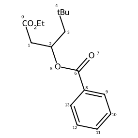 CCOC(=O)CC(CC(C)(C)C)OC(=O)c1ccccc1